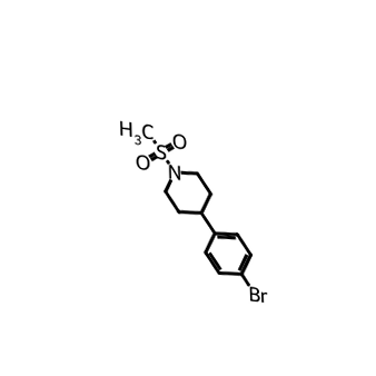 CS(=O)(=O)N1CCC(c2ccc(Br)cc2)CC1